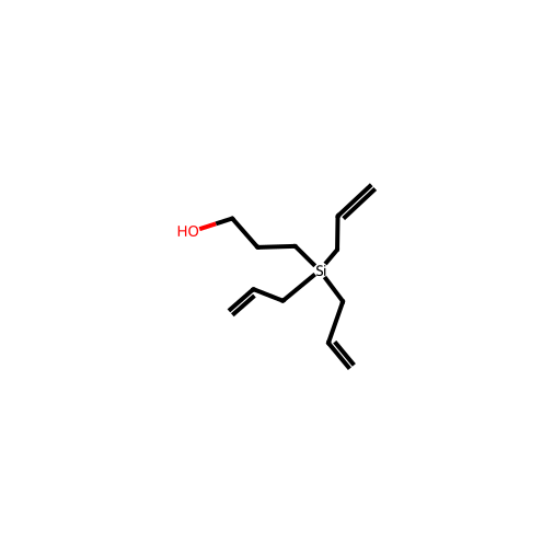 C=CC[Si](CC=C)(CC=C)CCCO